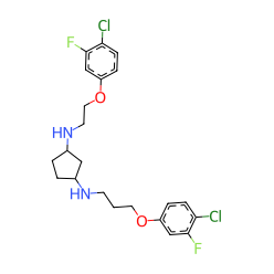 Fc1cc(OCCCNC2CCC(NCCOc3ccc(Cl)c(F)c3)C2)ccc1Cl